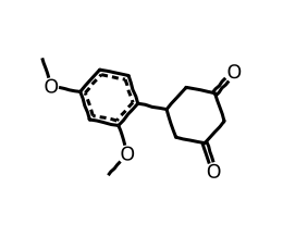 COc1ccc(C2CC(=O)CC(=O)C2)c(OC)c1